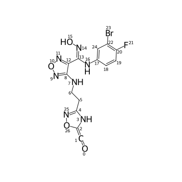 O=C=C1NC(CCNc2nonc2C(=NO)Nc2ccc(F)c(Br)c2)=NO1